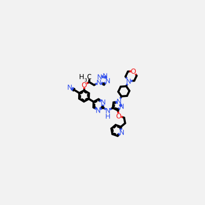 CC(Cn1cnnn1)Oc1cc(-c2cnc(Nc3cn(C4CCC(N5CCOCC5)CC4)nc3OCCc3ccccn3)nc2)ccc1C#N